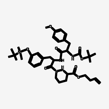 C=CCCOC(=O)C1CCCN(C(=O)C(Cc2cccc(O[Si](C)(C)C(C)(C)C)c2)NC(=O)C(Cc2ccc(OC)cc2)NC(=O)OC(C)(C)C)N1